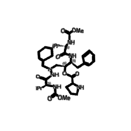 COC(=O)N[C@H](C(=O)N[C@@H](Cc1ccccc1)[C@H](CN(CC1CCCCC1)NC(=O)[C@@H](NC(=O)OC)C(C)C)OC(=O)C1CCCN1)C(C)C